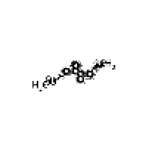 C=CC(=O)OCCCCc1cccc(-c2cc3c4ccccc4c(-c4cccc(COC(=O)C=C)c4)cc3c3ccccc23)c1